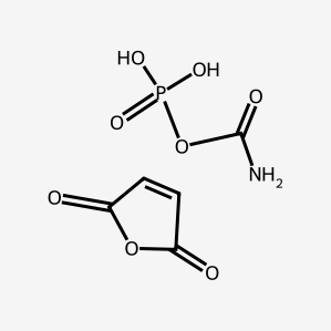 NC(=O)OP(=O)(O)O.O=C1C=CC(=O)O1